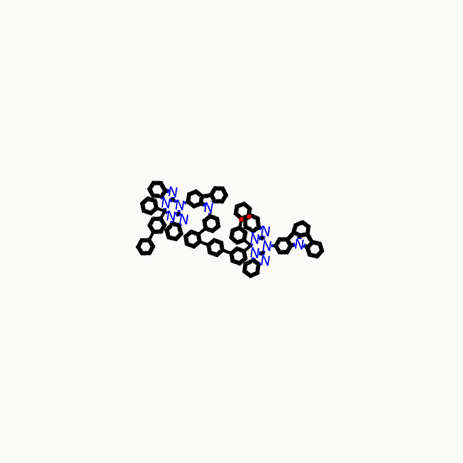 c1ccc(-c2ccc(C3(c4ccccc4)n4c(nc5ccccc54)N(c4ccc5c6ccccc6n(-c6cccc(-c7ccccc7-c7ccc(-c8cccc(C9(c%10cccc(-c%11ccccc%11)c%10)n%10c(nc%11ccccc%11%10)N(c%10ccc%11c(c%10)c%10cccc%12c%13ccccc%13n%11c%12%10)c%10nc%11ccccc%11n%109)c8)cc7)c6)c5c4)c4nc5ccccc5n43)cc2)cc1